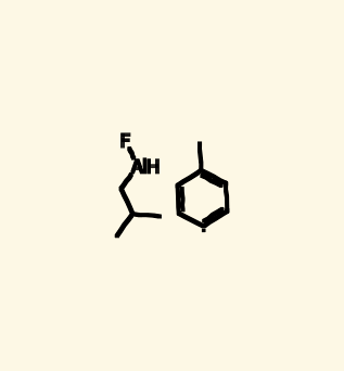 CC(C)[CH2][AlH][F].Cc1cc[c]cc1